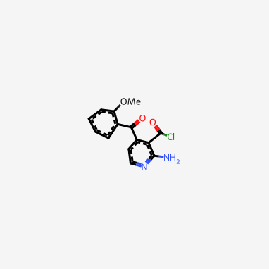 COc1ccccc1C(=O)c1ccnc(N)c1C(=O)Cl